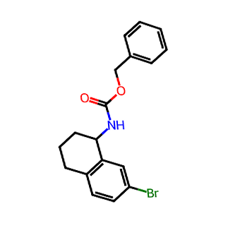 O=C(NC1CCCc2ccc(Br)cc21)OCc1ccccc1